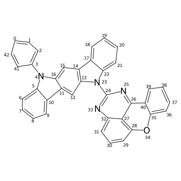 c1ccc(-n2c3ccccc3c3cc4c(cc32)c2ccccc2n4-c2nc3c4c(cccc4n2)Oc2ccccc2-3)cc1